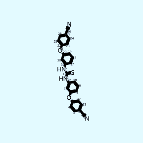 N#Cc1ccc(Oc2cccc(NC(=S)Nc3cccc(Oc4ccc(C#N)cc4)c3)c2)cc1